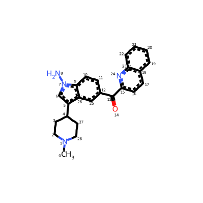 CN1CCC(c2cn(N)c3ccc(C(=O)c4ccc5ccccc5n4)cc23)CC1